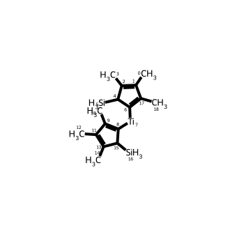 CC1=C(C)C([SiH3])[C]([Ti][C]2=C(C)C(C)=C(C)C2[SiH3])=C1C